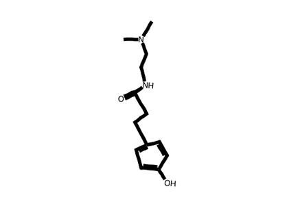 CN(C)CCNC(=O)CCc1ccc(O)cc1